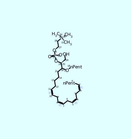 CCCCC/C=C\C/C=C\C/C=C\C/C=C\CCCCC(OCCCCC)[C@H](CO)OP(=O)([O-])OCC[N+](C)(C)C